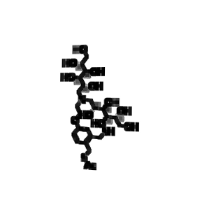 CC(=O)SCc1ccc(OCCN(C[C@@H](O)[C@@H](O)[C@H](O)[C@H](O)CO)C[C@@H](O)[C@@H](O)[C@H](O)[C@H](O)CO)cc1CS